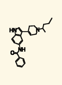 CCCC(C)N1CC=C(c2c[nH]c3ccc(NC(=O)c4ccccc4)cc23)CC1